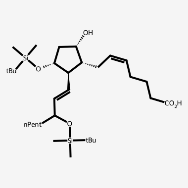 CCCCCC(/C=C/[C@@H]1[C@@H](C/C=C\CCCC(=O)O)[C@@H](O)C[C@H]1O[Si](C)(C)C(C)(C)C)O[Si](C)(C)C(C)(C)C